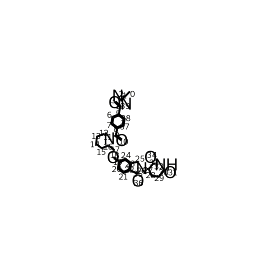 Cc1noc(-c2ccc(C(=O)N3CCCCC3COc3ccc4c(c3)CN(C3CCC(=O)NC3=O)C4=O)cc2)n1